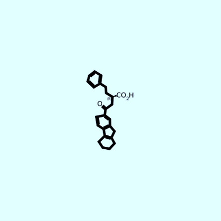 O=C(C[C@@H](CCc1ccccc1)C(=O)O)c1ccc2c(c1)CC1=C2CCCC1